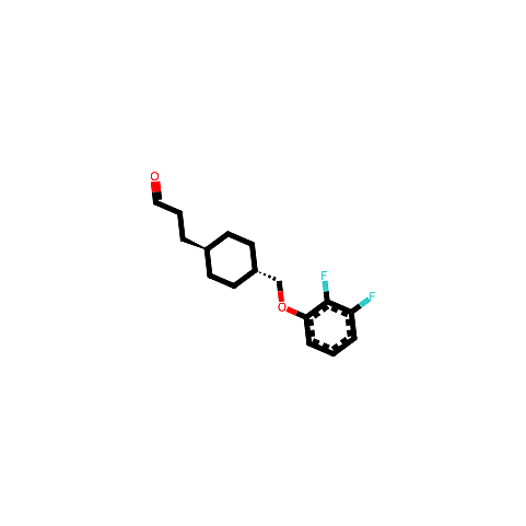 O=CCC[C@H]1CC[C@H](COc2cccc(F)c2F)CC1